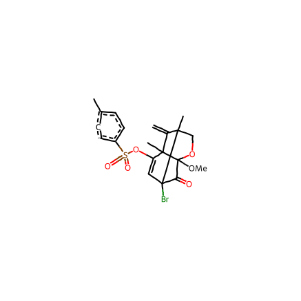 C=C1C2(C)COC3(OC)C(=O)C2(Br)C=C(OS(=O)(=O)c2ccc(C)cc2)C13C